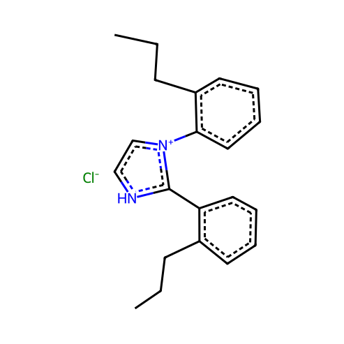 CCCc1ccccc1-c1[nH]cc[n+]1-c1ccccc1CCC.[Cl-]